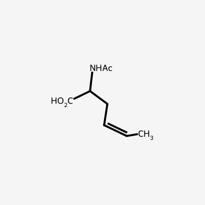 C/C=C\CC(NC(C)=O)C(=O)O